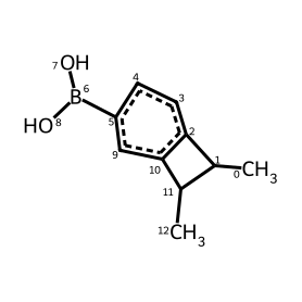 CC1c2ccc(B(O)O)cc2C1C